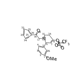 COc1cccc(C2C=C(OS(=O)(=O)C(F)(F)F)CCN2CC(=O)c2ccccc2)c1